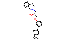 COc1ccc(-c2cccc(OCC(O)CN3CCc4ccccc4C3)c2)cc1